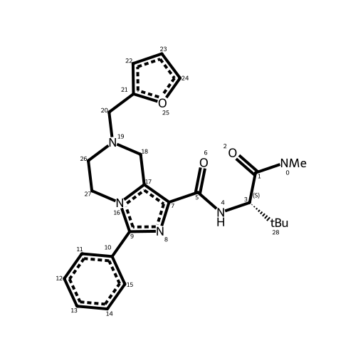 CNC(=O)[C@@H](NC(=O)c1nc(-c2ccccc2)n2c1CN(Cc1ccco1)CC2)C(C)(C)C